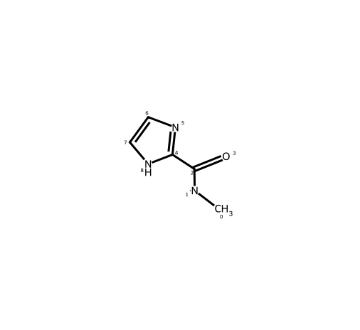 C[N]C(=O)c1ncc[nH]1